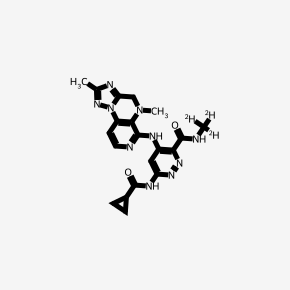 [2H]C([2H])([2H])NC(=O)c1nnc(NC(=O)C2CC2)cc1Nc1nccc2c1N(C)Cc1nc(C)nn1-2